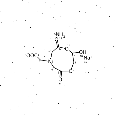 N.O=C([O-])CN1CC(=O)OCC(O)OC(=O)C1.[Na+]